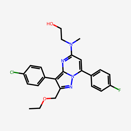 CCOCc1nn2c(-c3ccc(F)cc3)cc(N(C)CCO)nc2c1-c1ccc(Cl)cc1